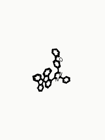 c1ccc(-c2nc(-c3ccc4c(c3)oc3ccccc34)cc(-c3cccc4c3-c3ccccc3C43c4ccccc4-c4ccccc43)n2)cc1